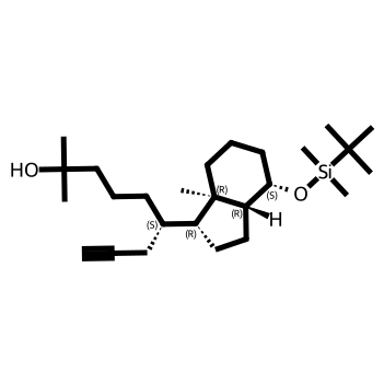 C#CC[C@H](CCCC(C)(C)O)[C@H]1CC[C@H]2[C@@H](O[Si](C)(C)C(C)(C)C)CCC[C@]12C